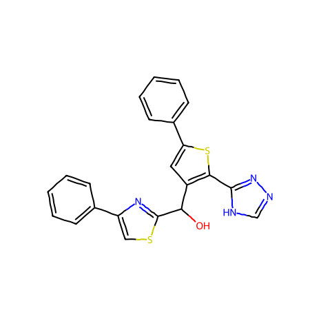 OC(c1nc(-c2ccccc2)cs1)c1cc(-c2ccccc2)sc1-c1nnc[nH]1